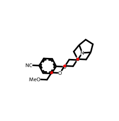 COCCOCCN1CC2CCC(C1)N2CCOc1ccc(C#N)cc1